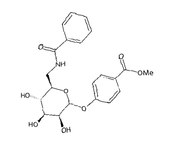 COC(=O)c1ccc(OC2O[C@H](CNC(=O)c3ccccc3)[C@@H](O)[C@H](O)[C@@H]2O)cc1